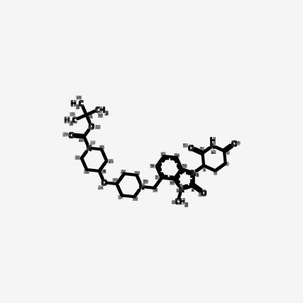 Cn1c(=O)n(C2CCC(=O)NC2=O)c2cccc(CN3CCC(OC4CCN(C(=O)OC(C)(C)C)CC4)CC3)c21